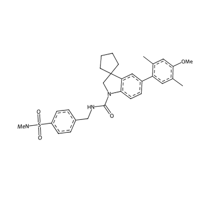 CNS(=O)(=O)c1ccc(CNC(=O)N2CC3(CCCC3)c3cc(-c4cc(C)c(OC)cc4C)ccc32)cc1